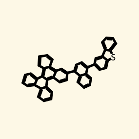 c1ccc2c(c1)sc1ccc(-c3ccc(-c4ccc5c(c4)c4ccccc4c4c6ccccc6c6ccccc6c54)c4ccccc34)cc12